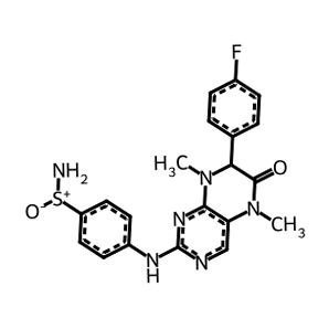 CN1C(=O)C(c2ccc(F)cc2)N(C)c2nc(Nc3ccc([S+](N)[O-])cc3)ncc21